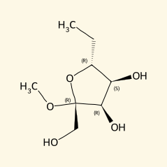 CC[C@H]1O[C@@](CO)(OC)[C@H](O)[C@@H]1O